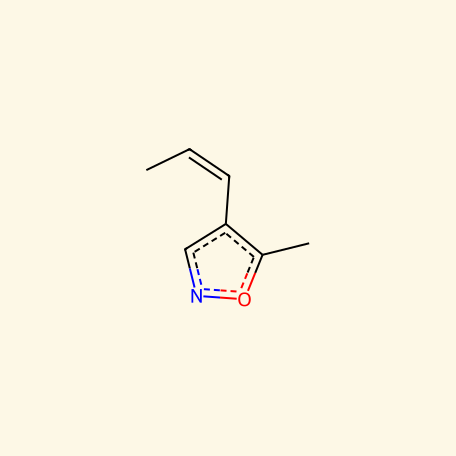 C/C=C\c1cnoc1C